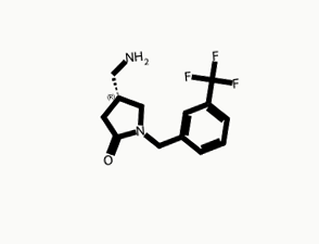 NC[C@H]1CC(=O)N(Cc2cccc(C(F)(F)F)c2)C1